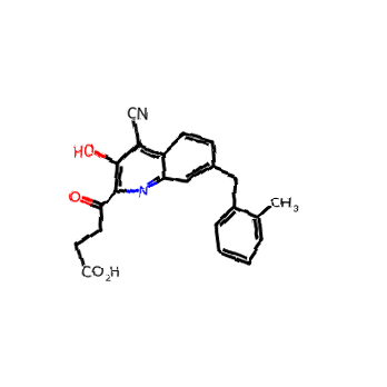 Cc1ccccc1Cc1ccc2c(C#N)c(O)c(C(=O)CCC(=O)O)nc2c1